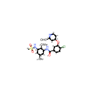 COc1c(NC(=O)c2ccc(Cl)c(Oc3ccnc(C=O)c3)c2)cc(C(C)(C)C)cc1NS(C)(=O)=O